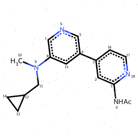 CC(=O)Nc1cc(-c2cncc(N(C)CC3CC3)c2)ccn1